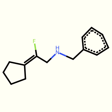 FC(CNCc1ccccc1)=C1CCCC1